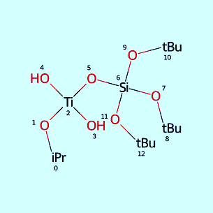 CC(C)[O][Ti]([OH])([OH])[O][Si](OC(C)(C)C)(OC(C)(C)C)OC(C)(C)C